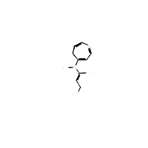 CC/C=C(\C)N(C)C1=CC=NC=CC1